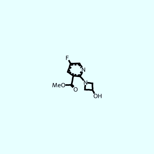 COC(=O)c1cc(F)cnc1N1CC(O)C1